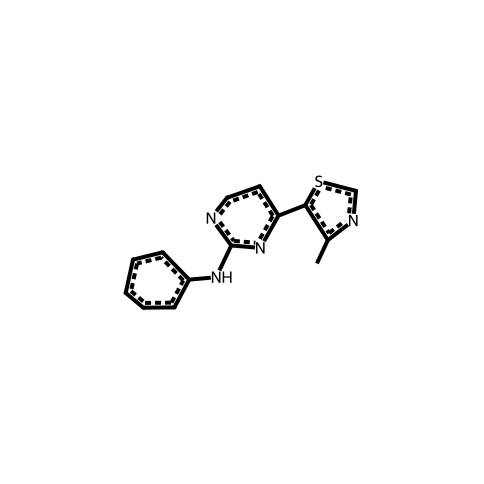 Cc1ncsc1-c1ccnc(Nc2ccccc2)n1